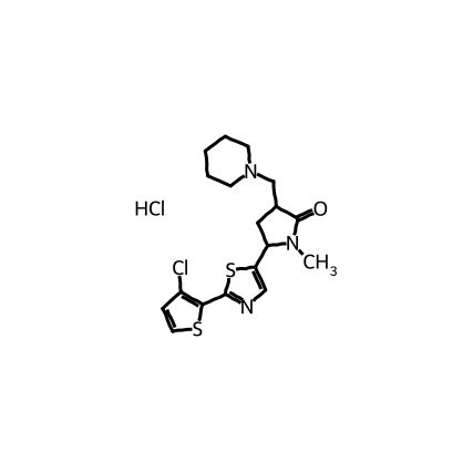 CN1C(=O)C(CN2CCCCC2)CC1c1cnc(-c2sccc2Cl)s1.Cl